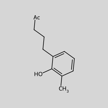 CC(=O)CCCc1cccc(C)c1O